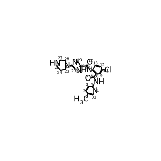 Cc1ccc(NC(=O)c2cc(Cl)ccc2NC(=O)c2cnc(N3CCCNCC3)cn2)nc1